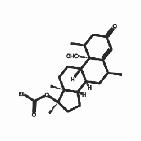 CCC(=O)O[C@]1(C)CC[C@H]2[C@@H]3C[C@H](C)C4=CC(=O)C[C@H](C)[C@]4(C=O)[C@H]3CC[C@@]21C